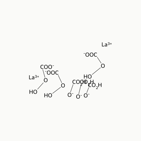 O=C([O-])O.O=C([O-])O.O=C([O-])O.O=C([O-])OO.O=C([O-])OO.O=C([O-])OO.[La+3].[La+3]